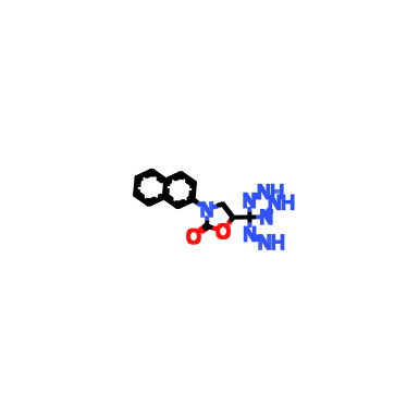 N=NC(N=N)(N=N)C1CN(c2ccc3ccccc3c2)C(=O)O1